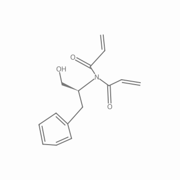 C=CC(=O)N(C(=O)C=C)[C@H](CO)Cc1ccccc1